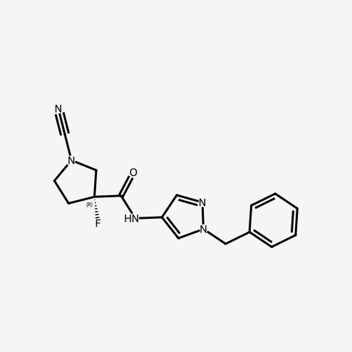 N#CN1CC[C@](F)(C(=O)Nc2cnn(Cc3ccccc3)c2)C1